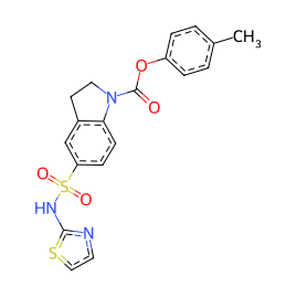 Cc1ccc(OC(=O)N2CCc3cc(S(=O)(=O)Nc4nccs4)ccc32)cc1